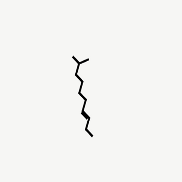 CCC=CCCCCC(C)C